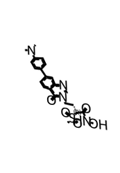 CN(C)c1ccc(-c2ccc3c(=O)n(CC[C@H](C(=O)NO)S(C)(=O)=O)cnc3c2)cc1